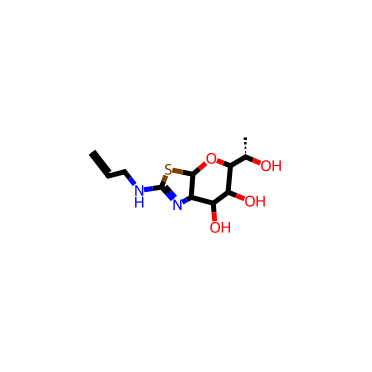 C=CCNC1=NC2C(OC([C@H](C)O)C(O)C2O)S1